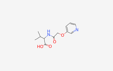 CC(C)C(NC(=O)COc1cccnc1)C(=O)O